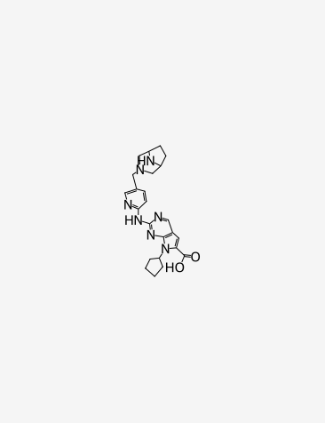 O=C(O)c1cc2cnc(Nc3ccc(CN4CC5CCC(C4)N5)cn3)nc2n1C1CCCC1